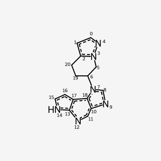 c1cc2n(n1)CC(n1cnc3cnc4[nH]ccc4c31)CC2